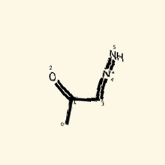 CC(=O)C=[N+]=N